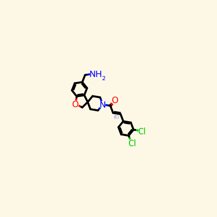 NCc1ccc2c(c1)C1(CCN(C(=O)/C=C/c3ccc(Cl)c(Cl)c3)CC1)CO2